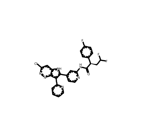 O=C(Nc1cc(-c2[nH]c3cc(Cl)nnc3c2-c2ccccn2)ccn1)[C@H](CC(F)F)c1ccc(F)cc1